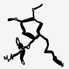 COc1cc(CCC#N)c(OS(N)(=O)=O)cc1OC